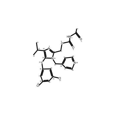 CC(=O)NC(=O)OCc1nc(C(C)C)c(Sc2cc(Cl)cc(Cl)c2)n1Cc1ccncc1